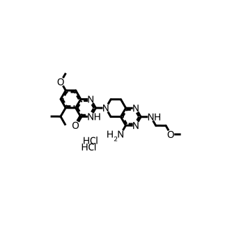 COCCNc1nc(N)c2c(n1)CCN(c1nc3cc(OC)cc(C(C)C)c3c(=O)[nH]1)C2.Cl.Cl